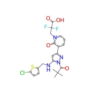 CC(C)(C)C(=O)n1nc(-c2cccn(CC(F)(F)C(=O)O)c2=O)cc1NCc1ccc(Cl)s1